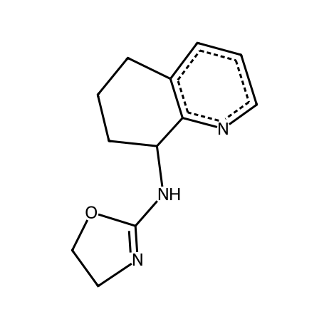 c1cnc2c(c1)CCCC2NC1=NCCO1